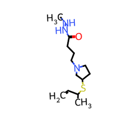 C=CC(C)SC1CCN(CCCC(=O)NNC)C1